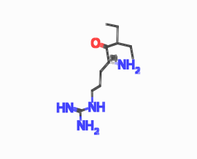 CCC(CC)C(=O)[C@H](N)CCCNC(=N)N